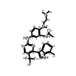 CC(=O)Nc1cc(Nc2ncc(C(F)(F)F)c(-c3c[nH]c4c(C)cccc34)n2)ccc1N(C)CCN(C)C